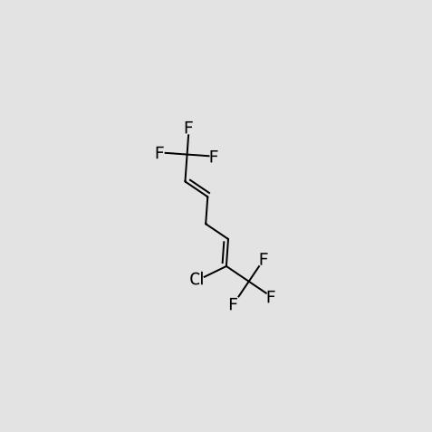 FC(F)(F)C=CCC=C(Cl)C(F)(F)F